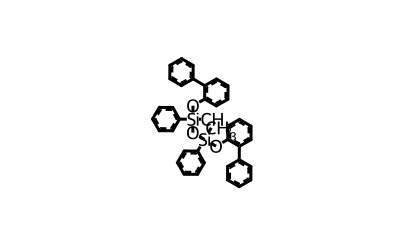 C[Si](Oc1ccccc1-c1ccccc1)(O[Si](C)(Oc1ccccc1-c1ccccc1)c1ccccc1)c1ccccc1